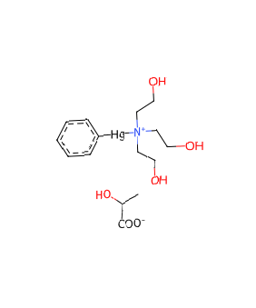 CC(O)C(=O)[O-].OCC[N+](CCO)(CCO)[Hg][c]1ccccc1